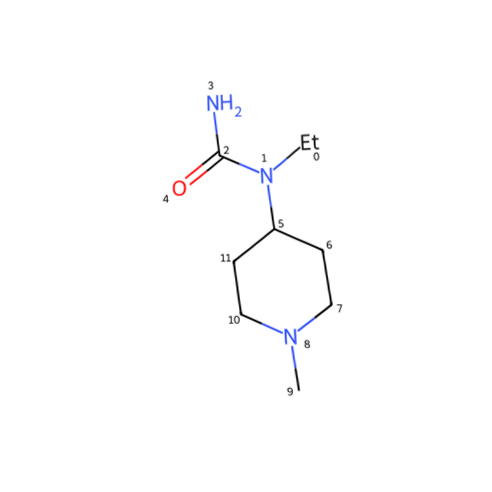 CCN(C(N)=O)C1CCN(C)CC1